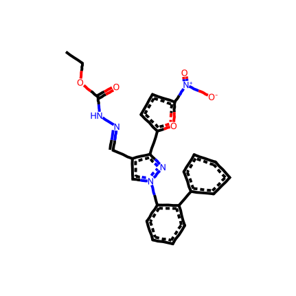 CCOC(=O)NN=Cc1cn(-c2ccccc2-c2ccccc2)nc1-c1ccc([N+](=O)[O-])o1